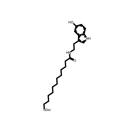 CCCCCCCCCCCCCCCCCCCCCC(=O)NCCc1c[nH]c2ccc(O)cc12